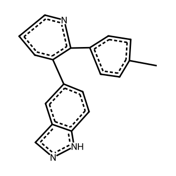 Cc1ccc(-c2ncccc2-c2ccc3[nH]ncc3c2)cc1